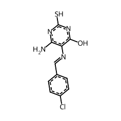 Nc1nc(S)nc(O)c1/N=C/c1ccc(Cl)cc1